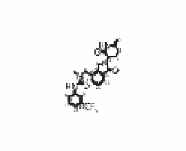 C=C1CCC(N2Cc3c(CN(C)C(=O)Nc4cccc(C(F)(F)F)c4)cccc3C2=O)C(=O)N1